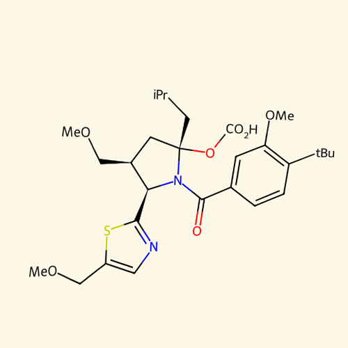 COCc1cnc([C@H]2[C@@H](COC)C[C@](CC(C)C)(OC(=O)O)N2C(=O)c2ccc(C(C)(C)C)c(OC)c2)s1